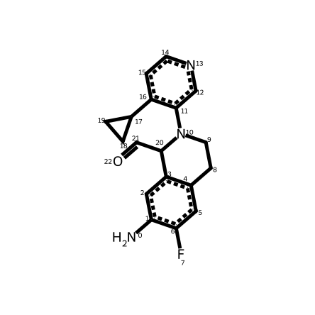 Nc1cc2c(cc1F)CCN(c1cnccc1C1CC1)C2C=O